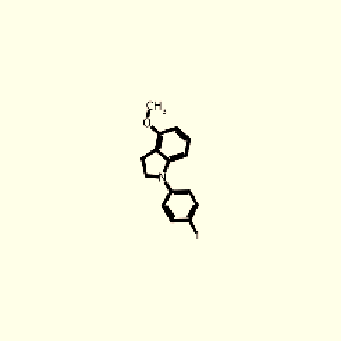 COc1cccc2c1CCN2c1ccc(I)cc1